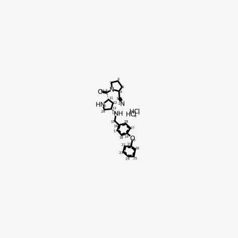 Cl.Cl.N#CC1CCCN1C(=O)[C@@H]1C[C@H](NCc2ccc(Oc3ccccc3)cc2)CN1